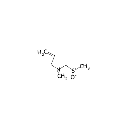 C=CCN(C)C[S+](C)[O-]